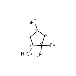 CC(C)N1C[C@@H](C)C(F)(F)C1